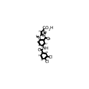 Cn1c2ccc(NC(=O)c3ccc(Cl)c(Cl)c3)cc2c(=O)n2nc(C(=O)O)cc12